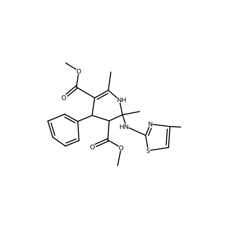 COC(=O)C1=C(C)NC(C)(Nc2nc(C)cs2)C(C(=O)OC)C1c1ccccc1